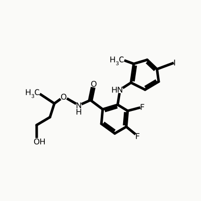 Cc1cc(I)ccc1Nc1c(C(=O)NOC(C)CCO)ccc(F)c1F